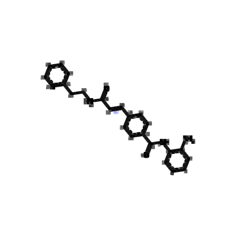 Nc1ccccc1NC(=O)c1ccc(/C=C/C(=O)NCCc2ccccn2)cc1